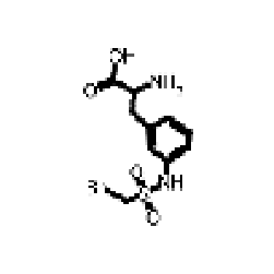 NC(Cc1cccc(NS(=O)(=O)CBr)c1)C(=O)O